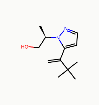 C=C(c1ccnn1[C@H](C)CO)C(C)(C)C